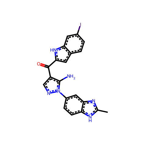 Cc1nc2cc(-n3ncc(C(=O)c4cc5ccc(I)cc5[nH]4)c3N)ccc2[nH]1